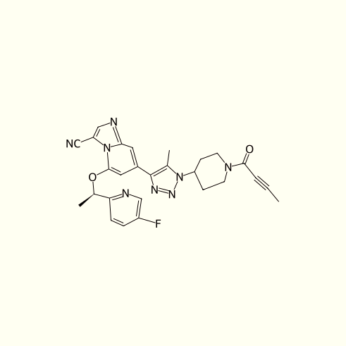 CC#CC(=O)N1CCC(n2nnc(-c3cc(O[C@H](C)c4ccc(F)cn4)n4c(C#N)cnc4c3)c2C)CC1